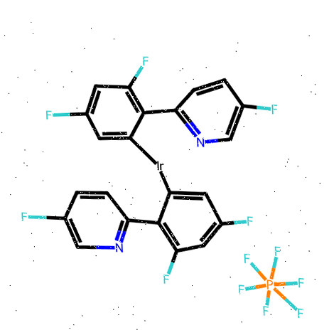 F[P-](F)(F)(F)(F)F.Fc1ccc(-c2c(F)cc(F)c[c]2[Ir][c]2cc(F)cc(F)c2-c2ccc(F)cn2)nc1